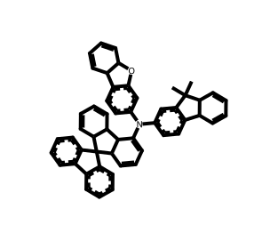 CC1(C)c2cc(N(C3=CC=CC4C3C3C=CC=CC3C43c4ccccc4-c4ccccc43)c3ccc4c(c3)OC3C=CC=CC43)ccc2C2C=CC=CC21